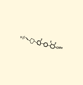 C/C=C/C1CCC(c2ccc(-c3ccc(-c4ccc(OC)c(F)c4F)cc3)c(F)c2)CC1